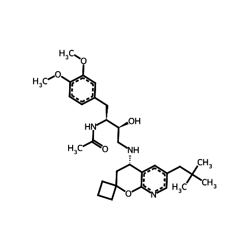 COc1ccc(C[C@H](NC(C)=O)[C@@H](O)CN[C@H]2CC3(CCC3)Oc3ncc(CC(C)(C)C)cc32)cc1OC